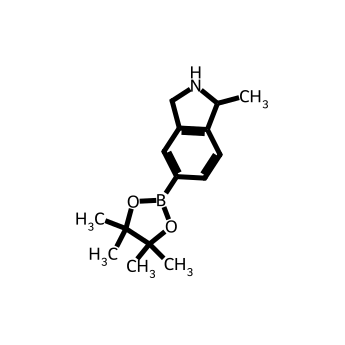 CC1NCc2cc(B3OC(C)(C)C(C)(C)O3)ccc21